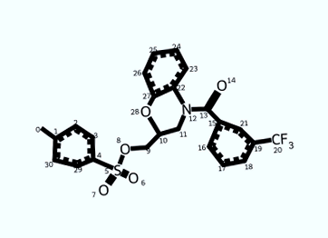 Cc1ccc(S(=O)(=O)OCC2CN(C(=O)c3cccc(C(F)(F)F)c3)c3ccccc3O2)cc1